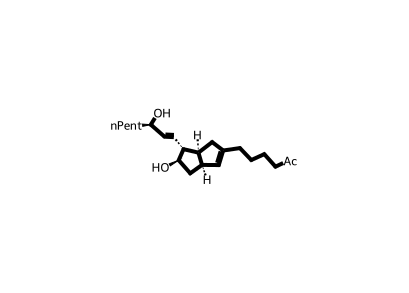 CCCCC[C@@H](O)/C=C/[C@@H]1[C@H]2CC(CCCCC(C)=O)=C[C@H]2C[C@H]1O